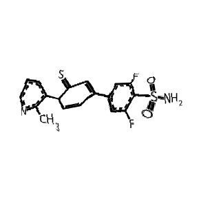 Cc1ncccc1C1C=CC(c2cc(F)c(S(N)(=O)=O)c(F)c2)=CC1=S